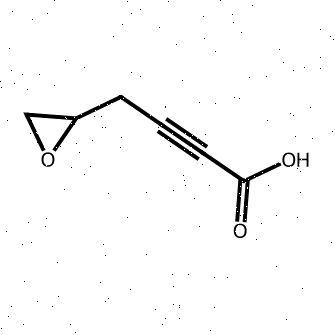 O=C(O)C#CCC1CO1